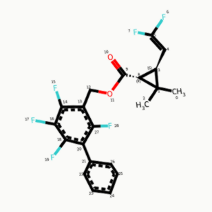 CC1(C)[C@H](C=C(F)F)[C@H]1C(=O)OCc1c(F)c(F)c(F)c(-c2ccccc2)c1F